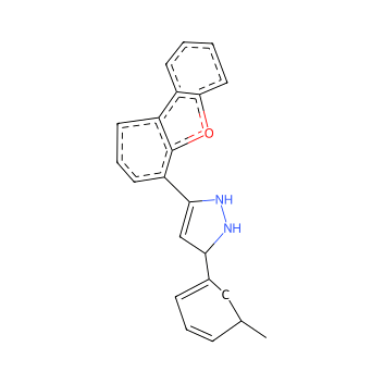 CC1C=CC=C(C2C=C(c3cccc4c3oc3ccccc34)NN2)C1